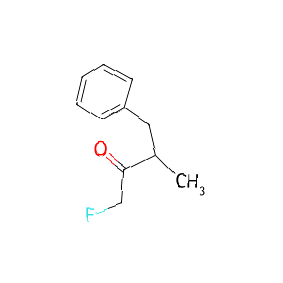 CC(Cc1ccccc1)C(=O)CF